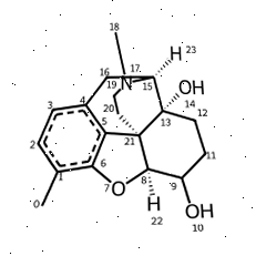 Cc1ccc2c3c1O[C@@H]1C(O)CC[C@]4(O)[C@H](C2)N(C)CC[C@@]314